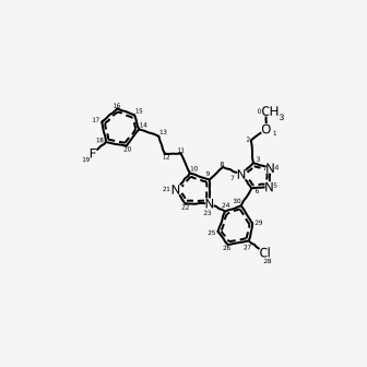 COCc1nnc2n1Cc1c(CCCc3cccc(F)c3)ncn1-c1ccc(Cl)cc1-2